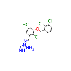 Cl.N=CN(N)/N=C/c1cccc(OCc2cccc(Cl)c2Cl)c1Cl